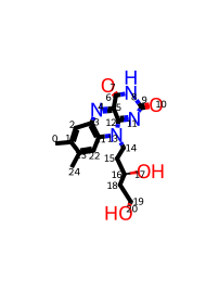 Cc1cc2nc3c(=O)[nH]c(=O)nc-3n(CC[C@@H](O)CCO)c2cc1C